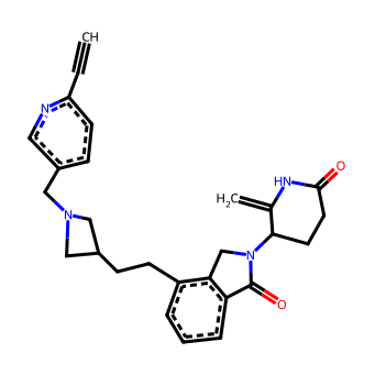 C#Cc1ccc(CN2CC(CCc3cccc4c3CN(C3CCC(=O)NC3=C)C4=O)C2)cn1